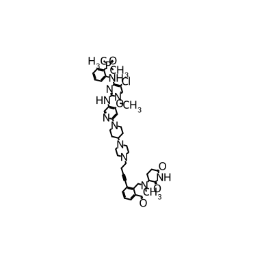 COc1cc(N2CCC(N3CCN(CCC#Cc4cccc(C=O)c4CN(C)C4CCC(=O)NC4=O)CC3)CC2)ncc1Nc1ncc(Cl)c(Nc2ccccc2P(C)(C)=O)n1